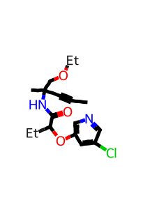 CC#CC(C)(COCC)NC(=O)C(CC)Oc1cncc(Cl)c1